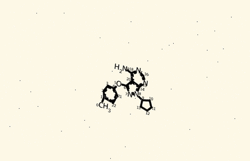 Cc1ccc(Oc2nn(C3CCCC3)c3ncnc(N)c23)cc1